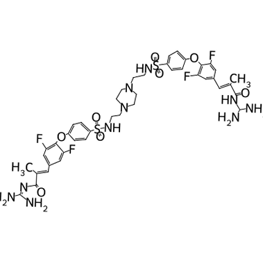 C/C(=C\c1cc(F)c(Oc2ccc(S(=O)(=O)NCCN3CCN(CCNS(=O)(=O)c4ccc(Oc5c(F)cc(/C=C(\C)C(=O)NC(N)N)cc5F)cc4)CC3)cc2)c(F)c1)C(=O)N=C(N)N